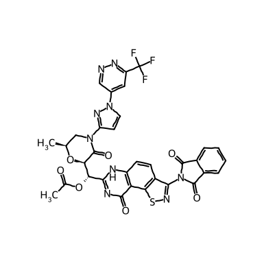 CC(=O)O[C@@H](c1nc(=O)c2c(ccc3c(N4C(=O)c5ccccc5C4=O)nsc32)[nH]1)[C@H]1O[C@@H](C)CN(c2ccn(-c3cnnc(C(F)(F)F)c3)n2)C1=O